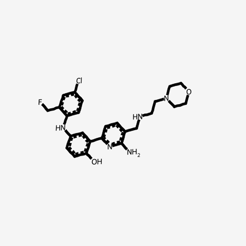 Nc1nc(-c2cc(Nc3ccc(Cl)cc3CF)ccc2O)ccc1CNCCN1CCOCC1